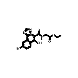 CCOC(=O)CNC(=O)c1c(O)c2ccc(Br)cc2c2ncnn12